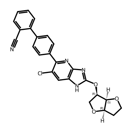 N#Cc1ccccc1-c1ccc(-c2nc3nc(O[C@@H]4CO[C@@H]5CCO[C@@H]54)[nH]c3cc2Cl)cc1